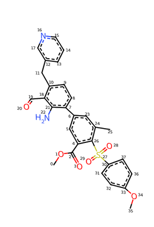 COC(=O)c1cc(-c2ccc(Cc3cccnc3)c(C=O)c2N)cc(C)c1S(=O)(=O)c1ccc(OC)cc1